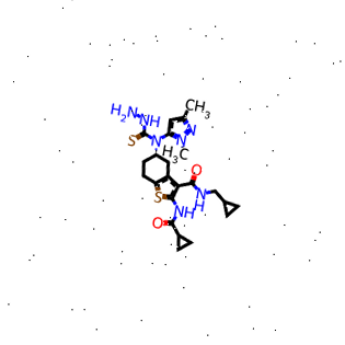 Cc1cc(N(C(=S)NN)[C@H]2CCc3sc(NC(=O)C4CC4)c(C(=O)NCC4CC4)c3C2)n(C)n1